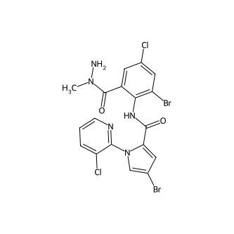 CN(N)C(=O)c1cc(Cl)cc(Br)c1NC(=O)c1cc(Br)cn1-c1ncccc1Cl